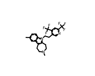 Cc1ccc2c(c1)c1c(n2CCc2cnc(C(F)(F)F)cc2C(F)(F)F)CCN(C)CC1